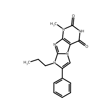 CCCn1c(-c2ccccc2)cn2c3c(=O)[nH]c(=O)n(C)c3nc12